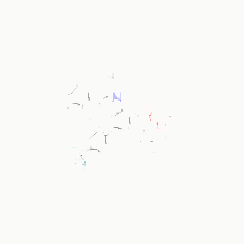 CCOC(=O)C(CC(C)C)c1cc(-c2ccc(C(F)(F)F)cc2)cc(N2CCCCC2Cc2ccccc2C)c1